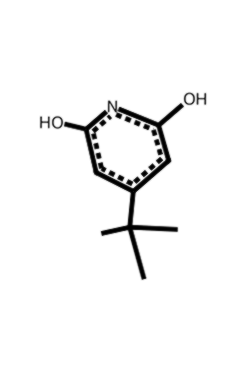 CC(C)(C)c1cc(O)nc(O)c1